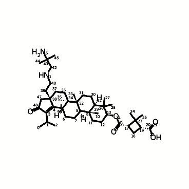 CC(C)C1=C2[C@H]3CC[C@@H]4[C@@]5(C)CC[C@H](OC(=O)[C@H]6C[C@@H](C(=O)O)C6(C)C)C(C)(C)[C@@H]5CC[C@@]4(C)[C@]3(C)CC[C@@]2(CCNCC(C)(C)N)CC1=O